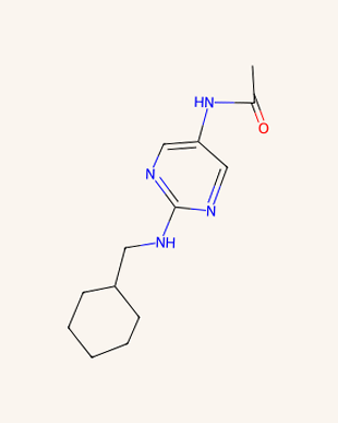 CC(=O)Nc1cnc(NCC2CCCCC2)nc1